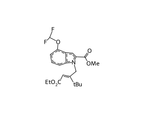 CCOC(=O)C=C(Cn1c(C(=O)OC)cc2c(OC(F)F)cccc21)C(C)(C)C